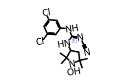 CC1(C)CC(N/C(=N\C#N)Nc2cc(Cl)cc(Cl)c2)C(C)(C)N1O